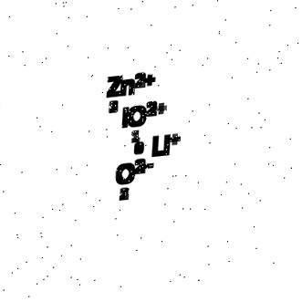 [Li+].[O+2].[O-2].[Zn+2]